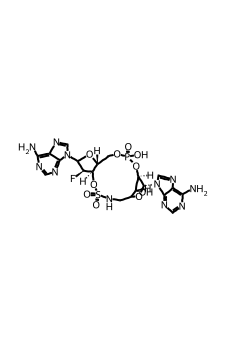 Nc1ncnc2c1ncn2C1O[C@@H]2COP(=O)(O)O[C@@H]3[C@H](O)C(CNS(=O)(=O)O[C@H]2[C@H]1F)O[C@H]3n1cnc2c(N)ncnc21